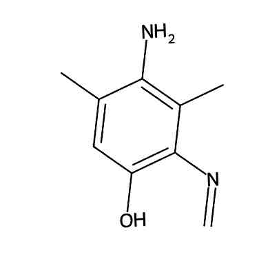 C=Nc1c(O)cc(C)c(N)c1C